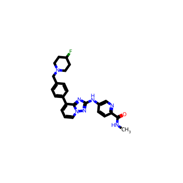 CNC(=O)c1ccc(Nc2nc3c(-c4ccc(CN5CCC(F)CC5)cc4)cccn3n2)cn1